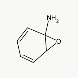 NC12C=CC=CC1O2